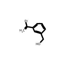 C=C(CC)c1cccc(CO)c1